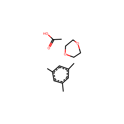 C1COCCO1.CC(=O)O.Cc1cc(C)cc(C)c1